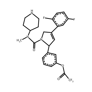 CN(C(=O)N1CC(c2cc(F)ccc2F)=CC1c1cccc(OC(=O)C(F)(F)F)c1)C1CCNCC1